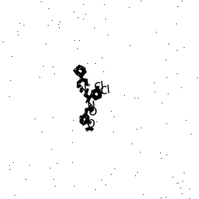 CC(C)Oc1cccc(CC(=O)N(C)CC(CC[N+]2(C)CCC(c3ccccc3)CC2)c2ccc(Cl)c(Cl)c2)c1